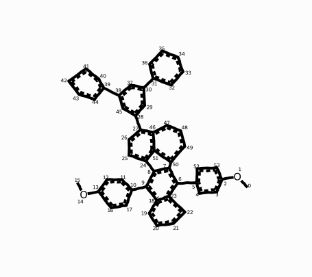 COc1ccc(-c2c3c(c(-c4ccc(OC)cc4)c4ccccc24)-c2ccc(-c4cc(-c5ccccc5)cc(-c5ccccc5)c4)c4cccc-3c24)cc1